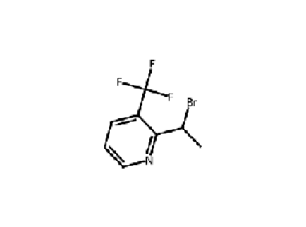 CC(Br)c1ncccc1C(F)(F)F